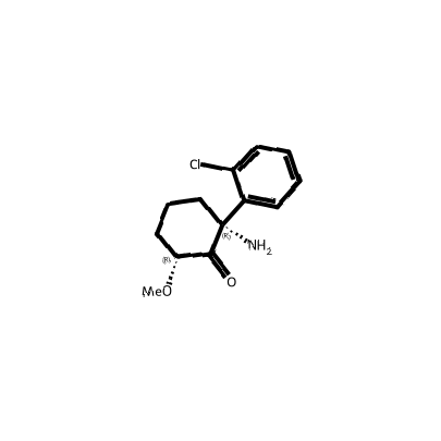 CO[C@@H]1CCC[C@@](N)(c2ccccc2Cl)C1=O